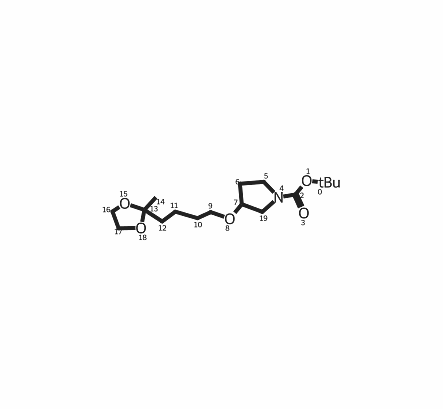 CC(C)(C)OC(=O)N1CCC(OCCCCC2(C)OCCO2)C1